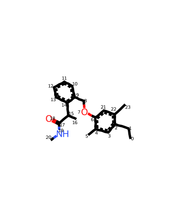 CCc1cc(C)c(OCc2ccccc2C(C)C(=O)NC)cc1C